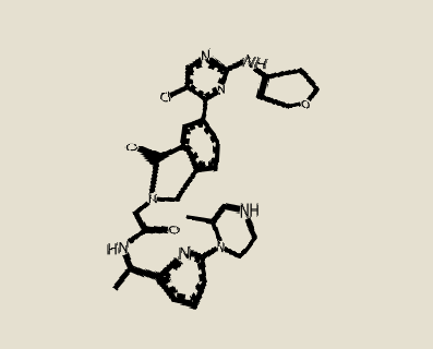 CC(NC(=O)CN1Cc2ccc(-c3nc(NC4CCOCC4)ncc3Cl)cc2C1=O)c1cccc(N2CCNCC2C)n1